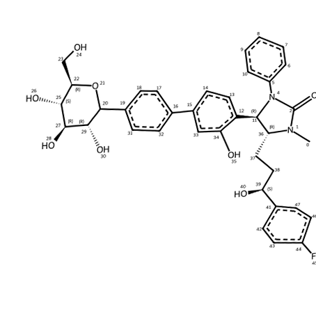 CN1C(=O)N(c2ccccc2)[C@H](c2ccc(-c3ccc(C4O[C@H](CO)[C@@H](O)[C@H](O)[C@H]4O)cc3)cc2O)[C@H]1CC[C@H](O)c1ccc(F)cc1